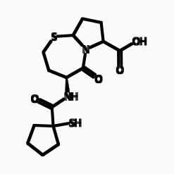 O=C(O)C1CCC2SCC[C@H](NC(=O)C3(S)CCCC3)C(=O)N21